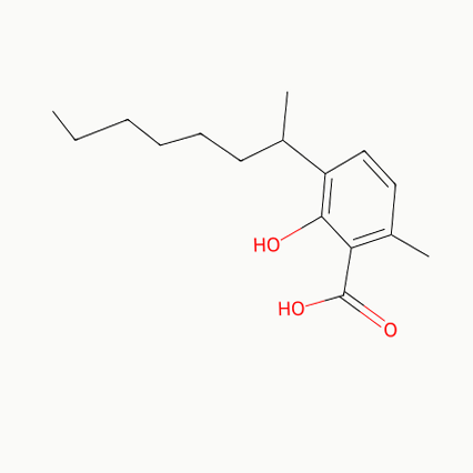 CCCCCCC(C)c1ccc(C)c(C(=O)O)c1O